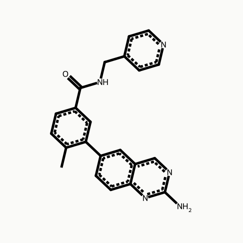 Cc1ccc(C(=O)NCc2ccncc2)cc1-c1ccc2nc(N)ncc2c1